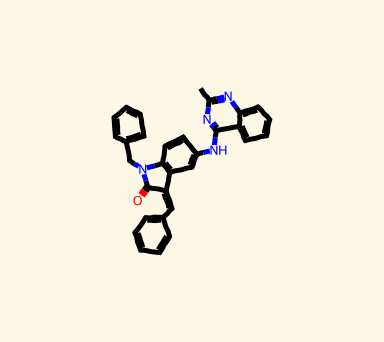 Cc1nc(Nc2ccc3c(c2)C(=Cc2ccccc2)C(=O)N3Cc2ccccc2)c2ccccc2n1